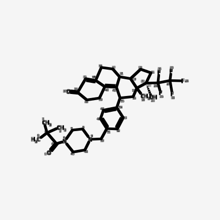 CC(C)(C)C(=O)N1CCN(Cc2ccc(C3CC4(C)C(CC[C@@]4(O)C(F)(F)C(F)(F)F)C4CCC5=CC(=O)CCC5=C34)cc2)CC1